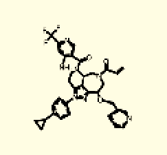 C=CC(=O)N1CC(OCc2cccnc2)c2nn(-c3ccc(C4CC4)cc3)c3c2C(C1)N(C(=O)c1cnc(C(F)(F)F)cc1N)CC3